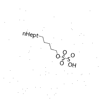 CCCCCCCCCCCCOS(=O)(=O)S(=O)O